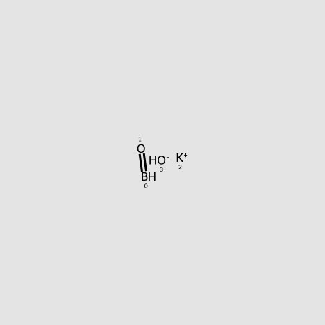 B=O.[K+].[OH-]